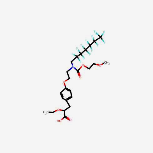 CCOC(Cc1ccc(OCCN(CC(F)(F)C(F)(F)C(F)(F)C(F)(F)C(F)(F)C(F)(F)F)C(=O)OCCOC)cc1)C(=O)O